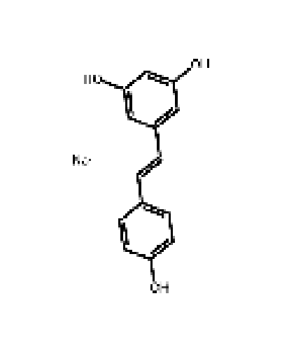 Oc1ccc(C=Cc2cc(O)cc(O)c2)cc1.[Na]